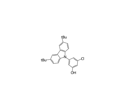 CC(C)(C)c1ccc2c(c1)c1cc(C(C)(C)C)ccc1n2-c1cc(O)cc(Cl)c1